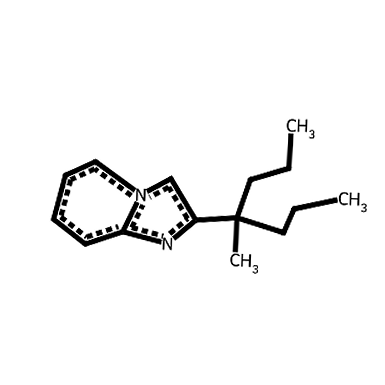 CCCC(C)(CCC)c1cn2ccccc2n1